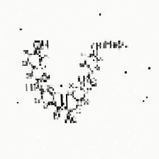 CCCCCCCOc1ccc(C(=O)Oc2ccc(C[C@H](NC(=O)c3ccc(NC(=O)Cc4ccc(O)cc4)cc3)C(C)=O)cc2)cc1